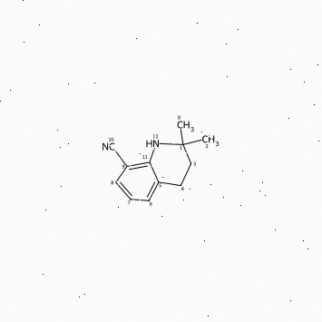 CC1(C)CCc2cccc(C#N)c2N1